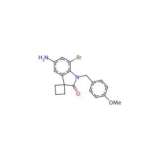 COc1ccc(CN2C(=O)C3(CCC3)c3cc(N)cc(Br)c32)cc1